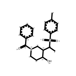 Cc1ccc(S(=O)(=O)C(C)C2CN(C(=O)c3ccccc3)CCC2O)cc1